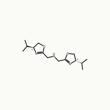 CC(C)[C@H]1COC(CNCC2=N[C@@H](C(C)C)CO2)=N1